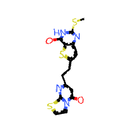 CSc1nc2cc(CCc3cc(=O)n4ccsc4n3)sc2c(=O)[nH]1